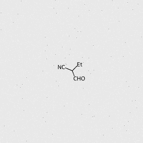 CCC(C#N)C=O